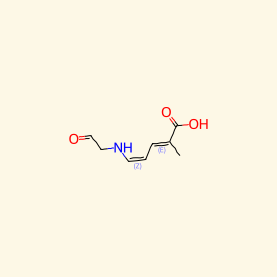 C/C(=C\C=C/NCC=O)C(=O)O